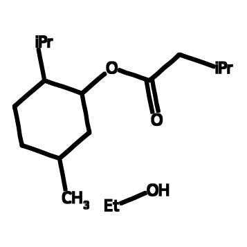 CC(C)CC(=O)OC1CC(C)CCC1C(C)C.CCO